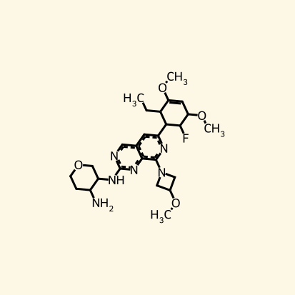 CCC1C(OC)=CC(OC)C(F)C1c1cc2cnc(NC3COCCC3N)nc2c(N2CC(OC)C2)n1